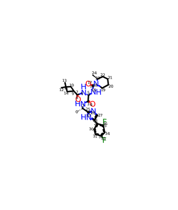 C[C@H](NC(=O)[C@@H](NC(=O)C1CC(C)(C)C1)NC(=O)N1CCCC[C@@H]1C)c1ncc(-c2ccc(F)cc2F)[nH]1